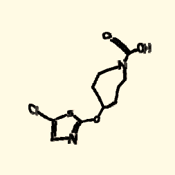 O=C(O)N1CCC(Oc2ncc(Cl)s2)CC1